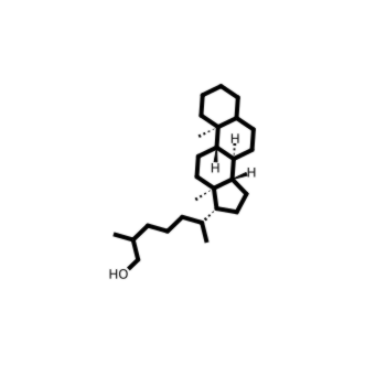 CC(CO)CCCC(C)[C@H]1CC[C@H]2[C@@H]3CCC4CCCC[C@]4(C)[C@H]3CC[C@]12C